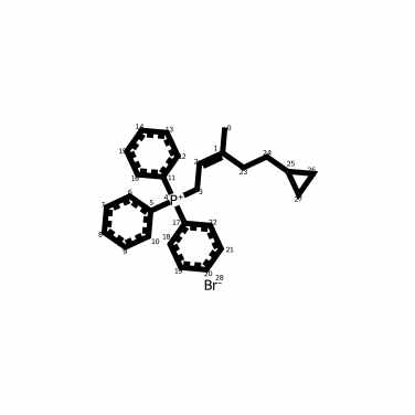 CC(=CC[P+](c1ccccc1)(c1ccccc1)c1ccccc1)CCC1CC1.[Br-]